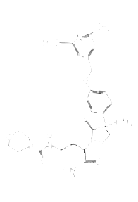 Cc1cc(COc2ccc(C3(C)CCN(C(CCNC(=O)N4CCOCC4)C(=O)NO)C3=O)cc2)cc(C)n1